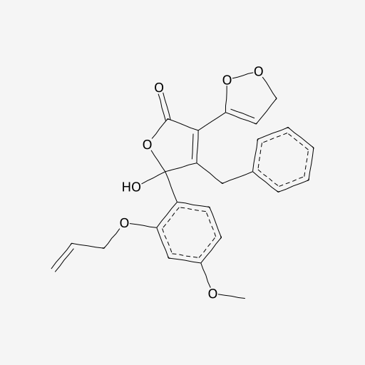 C=CCOc1cc(OC)ccc1C1(O)OC(=O)C(C2=CCOO2)=C1Cc1ccccc1